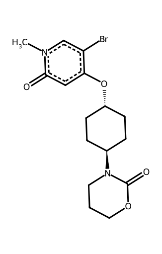 Cn1cc(Br)c(O[C@H]2CC[C@H](N3CCCOC3=O)CC2)cc1=O